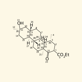 CCOC(=O)C1C[C@@H](C)[C@H]2[C@@H]3CC[C@H]4C[C@](C)(O)CC[C@@H]4[C@H]3CC[C@]2(C)C1=O